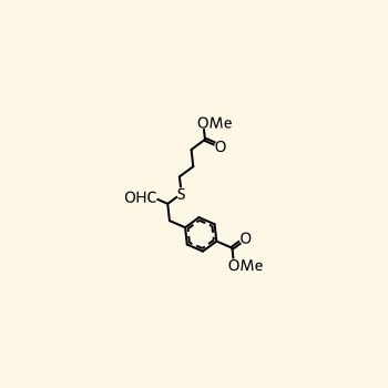 COC(=O)CCCSC(C=O)Cc1ccc(C(=O)OC)cc1